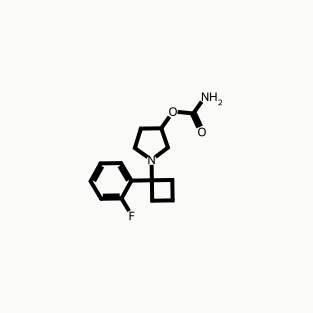 NC(=O)OC1CCN(C2(c3ccccc3F)CCC2)C1